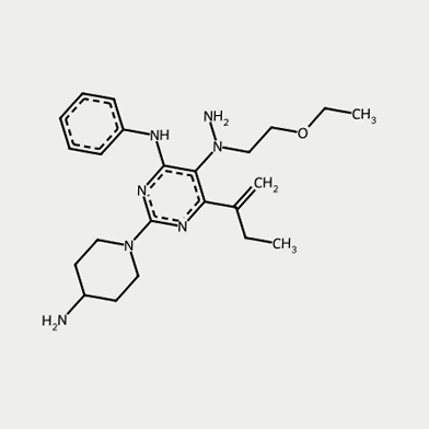 C=C(CC)c1nc(N2CCC(N)CC2)nc(Nc2ccccc2)c1N(N)CCOCC